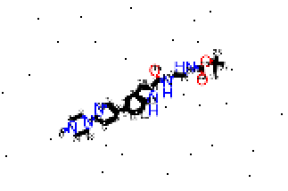 CN1CCN(c2ccc(-c3ccc4[nH]c(C(=O)NCCNC(=O)OC(C)(C)C)cc4c3)cn2)CC1